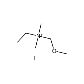 CC[N+](C)(C)COC.[I-]